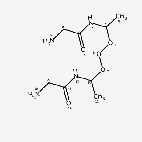 CC(NC(=O)CN)OOOC(C)NC(=O)CN